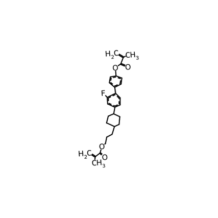 C=C(C)C(=O)OCCCC1CCC(c2ccc(-c3ccc(OC(=O)C(=C)C)cc3)c(F)c2)CC1